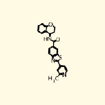 Cc1cc(-c2nc3ccc(C(=O)NC4CCOc5ccccc54)cc3s2)ccn1